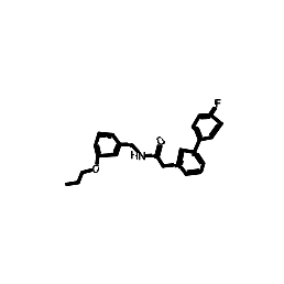 CCCOc1cccc(CNC(=O)Cc2cccc(-c3ccc(F)cc3)c2)c1